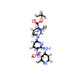 Cc1cc(Nc2nc(N3C[C@H]4CCC3CN4C(=O)OC(C)(C)C)ccc2[N+](=O)[O-])ccn1